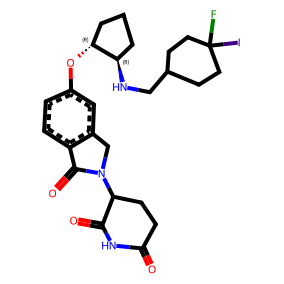 O=C1CCC(N2Cc3cc(O[C@@H]4CCC[C@H]4NCC4CCC(F)(I)CC4)ccc3C2=O)C(=O)N1